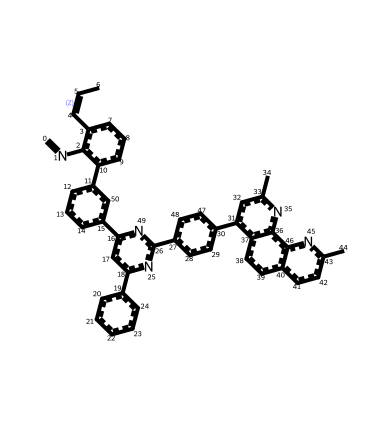 C=Nc1c(/C=C\C)cccc1-c1cccc(-c2cc(-c3ccccc3)nc(-c3ccc(-c4cc(C)nc5c4ccc4ccc(C)nc45)cc3)n2)c1